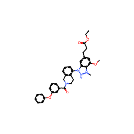 CCOC(=O)CCc1cc(OC)c2c(c1)N(c1cccc3c1CCN(C(=O)c1cccc(Oc4ccccc4)c1)C3)NN2C